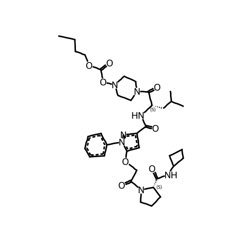 CCCCOC(=O)ON1CCN(C(=O)[C@H](CC(C)C)NC(=O)c2cc(OCC(=O)N3CCC[C@H]3C(=O)NC3CCC3)n(-c3ccccc3)n2)CC1